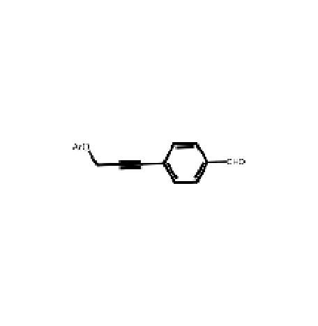 CC(=O)OCC#Cc1ccc(C=O)cc1